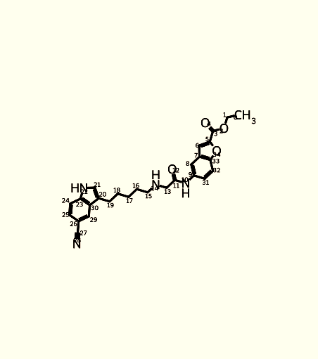 CCOC(=O)c1cc2cc(NC(=O)CNCCCCCc3c[nH]c4ccc(C#N)cc34)ccc2o1